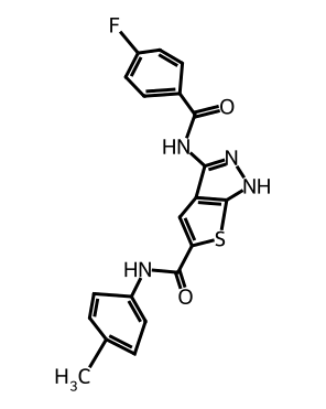 Cc1ccc(NC(=O)c2cc3c(NC(=O)c4ccc(F)cc4)n[nH]c3s2)cc1